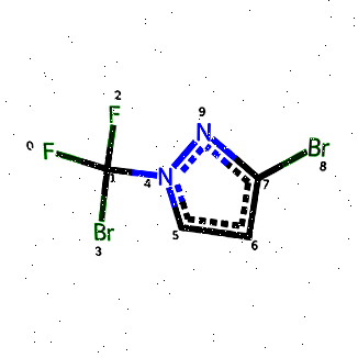 FC(F)(Br)n1ccc(Br)n1